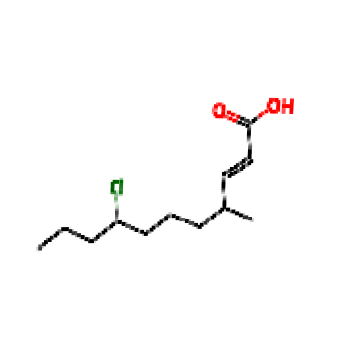 CCCC(Cl)CCCC(C)C=CC(=O)O